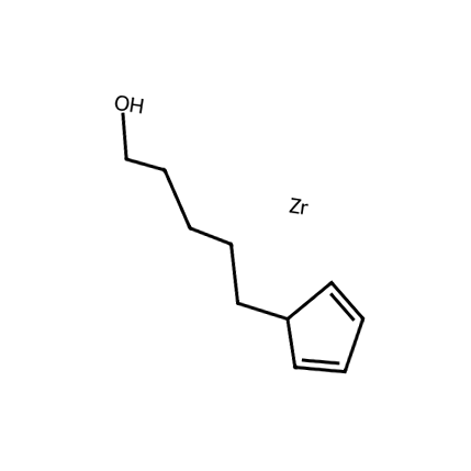 OCCCCCC1C=CC=C1.[Zr]